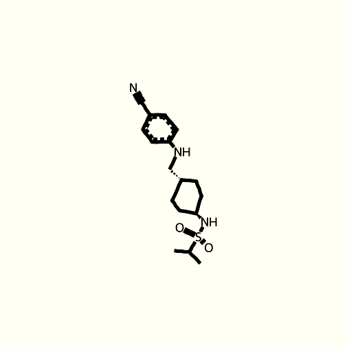 CC(C)S(=O)(=O)N[C@H]1CC[C@H](CNc2ccc(C#N)cc2)CC1